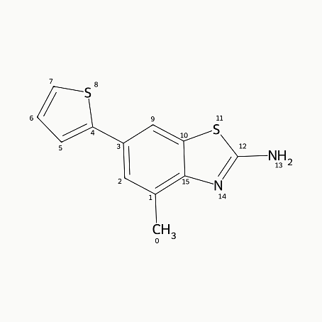 Cc1cc(-c2cccs2)cc2sc(N)nc12